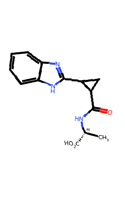 C[C@@H](NC(=O)C1CC1c1nc2ccccc2[nH]1)C(=O)O